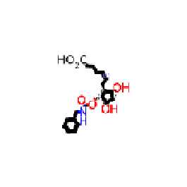 O=C(O)CCC/C=C\C[C@@H]1[C@@H](COC(=O)NCc2ccccc2)[C@H](O)C[C@@H]1O